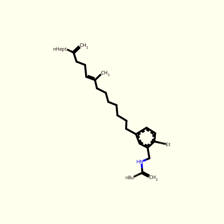 C=C(CC/C=C(\C)CCCCCCCc1ccc(CC)c(CNC(=C)CCCC)c1)CCCCCCC